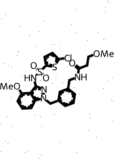 COCCC(=O)NCc1cccc(Cn2nc(NS(=O)(=O)c3ccc(Cl)s3)c3c(OC)cccc32)c1